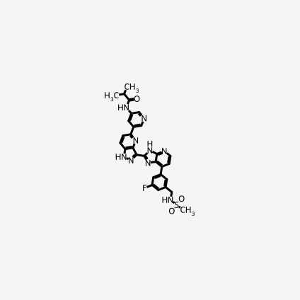 CC(C)C(=O)Nc1cncc(-c2ccc3[nH]nc(-c4nc5c(-c6cc(F)cc(CNS(C)(=O)=O)c6)ccnc5[nH]4)c3n2)c1